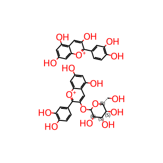 OC[C@H]1OC(Oc2cc3c(O)cc(O)cc3[o+]c2-c2ccc(O)c(O)c2)[C@H](O)[C@@H](O)[C@@H]1O.Oc1cc(O)c2cc(O)c(-c3ccc(O)c(O)c3)[o+]c2c1